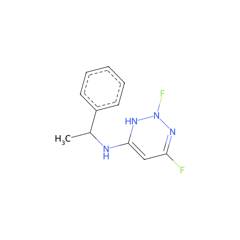 CC(NC1=CC(F)=NN(F)N1)c1ccccc1